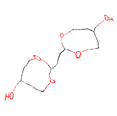 OC1COC(C2OCC(O)CO2)OC1